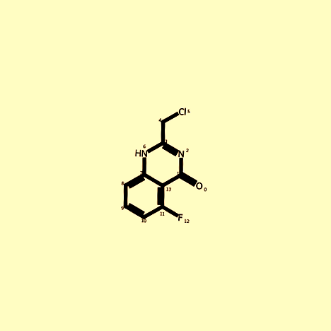 O=c1nc(CCl)[nH]c2cccc(F)c12